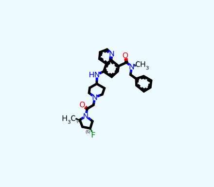 C[C@@H]1C[C@H](F)CN1C(=O)CN1CCC(Nc2ccc(C(=O)N(C)Cc3ccccc3)c3ncccc23)CC1